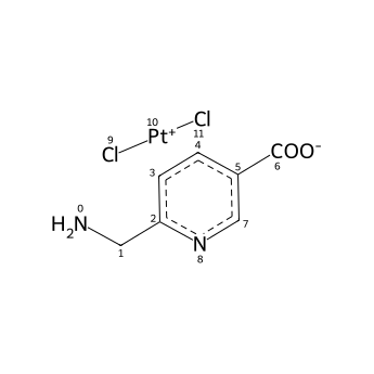 NCc1ccc(C(=O)[O-])cn1.[Cl][Pt+][Cl]